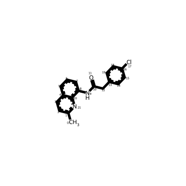 Cc1ccc2cccc(NC(=O)Cc3ccc(Cl)cc3)c2n1